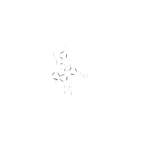 NCc1ccc([C@@](Cc2ccccc2)(NC(=O)c2ccc(F)cc2C(F)(F)F)c2cc(F)cc(OC(F)(F)C(F)F)c2)cc1